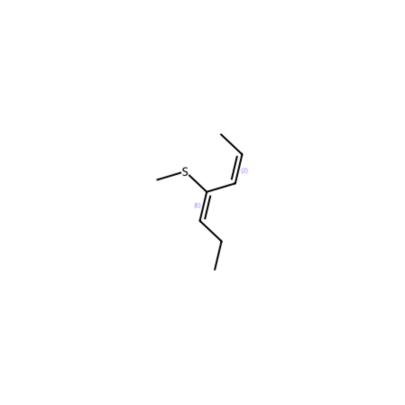 C/C=C\C(=C/CC)SC